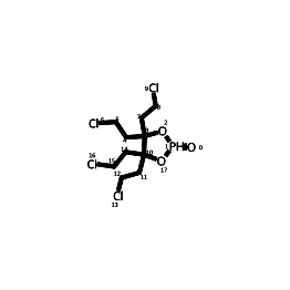 O=[PH]1OC(CCCl)(CCCl)C(CCCl)(CCCl)O1